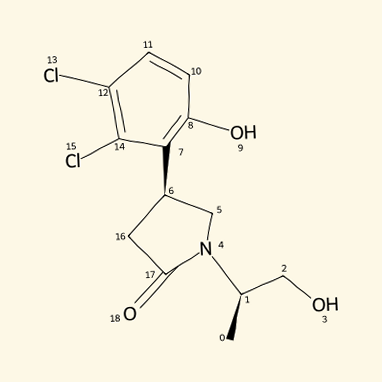 C[C@H](CO)N1C[C@H](c2c(O)ccc(Cl)c2Cl)CC1=O